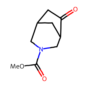 COC(=O)N1CC2CC(=O)C(C2)C1